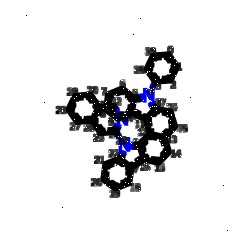 c1ccc(-n2c3ccccc3c3c4c(ccc5c6ccccc6n(-c6cc7ccccc7cn6)c54)ccc32)cc1